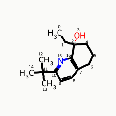 CC[C@@]1(O)CCCc2ccc(C(C)(C)C)nc21